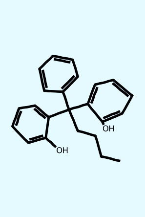 CCCCC(c1ccccc1)(c1ccccc1O)c1ccccc1O